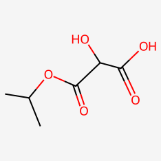 CC(C)OC(=O)C(O)C(=O)O